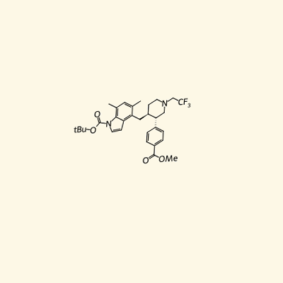 COC(=O)c1ccc([C@H]2CN(CC(F)(F)F)CC[C@@H]2Cc2c(C)cc(C)c3c2ccn3C(=O)OC(C)(C)C)cc1